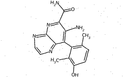 Cc1ccc(O)c(C)c1-c1c(N)c(C(N)=O)nc2nccnc12